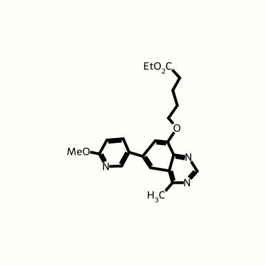 CCOC(=O)CCCCOc1cc(-c2ccc(OC)nc2)cc2c(C)ncnc12